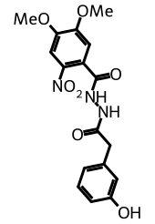 COc1cc(C(=O)NNC(=O)Cc2cccc(O)c2)c([N+](=O)[O-])cc1OC